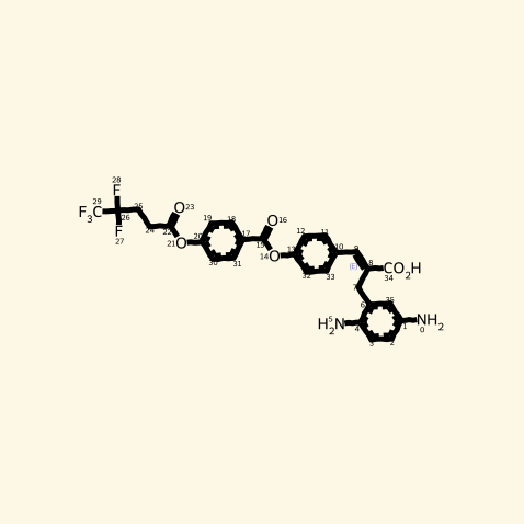 Nc1ccc(N)c(C/C(=C\c2ccc(OC(=O)c3ccc(OC(=O)CCC(F)(F)C(F)(F)F)cc3)cc2)C(=O)O)c1